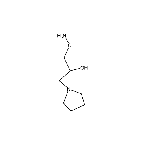 NOCC(O)CN1CCCC1